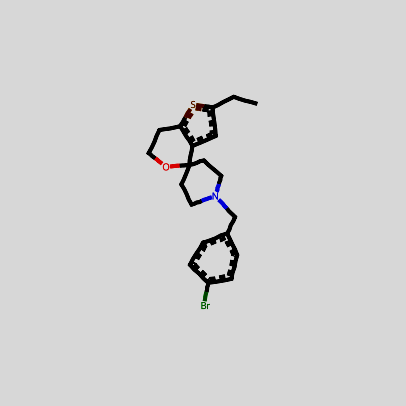 CCc1cc2c(s1)CCOC21CCN(Cc2ccc(Br)cc2)CC1